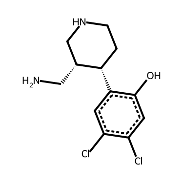 NC[C@@H]1CNCC[C@@H]1c1cc(Cl)c(Cl)cc1O